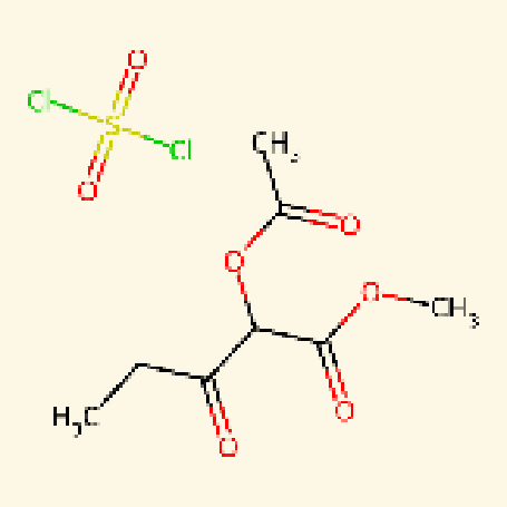 CCC(=O)C(OC(C)=O)C(=O)OC.O=S(=O)(Cl)Cl